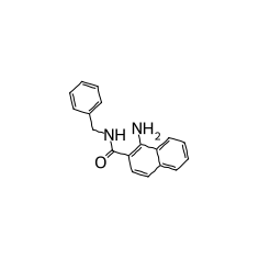 Nc1c(C(=O)NCc2ccccc2)ccc2ccccc12